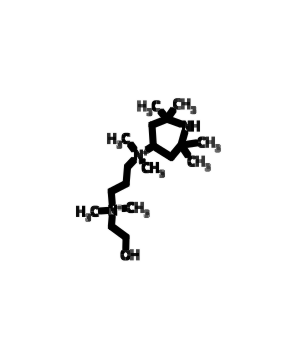 CC1(C)CC([N+](C)(C)CCC[N+](C)(C)CCO)CC(C)(C)N1